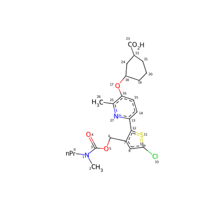 CCCN(C)C(=O)OCc1cc(Cl)sc1-c1ccc(OC2CCCC(C(=O)O)C2)c(C)n1